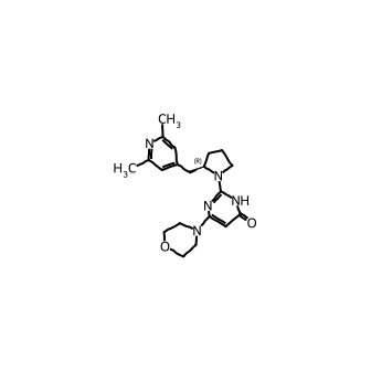 Cc1cc(C[C@H]2CCCN2c2nc(N3CCOCC3)cc(=O)[nH]2)cc(C)n1